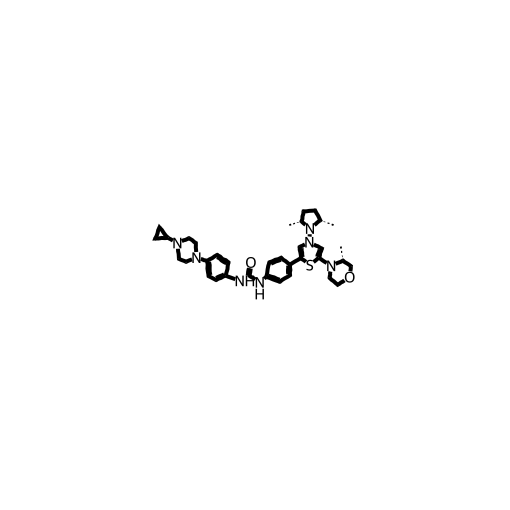 C[C@@H]1COCCN1C1=CN(N2[C@H](C)CC[C@@H]2C)C=C(c2ccc(NC(=O)Nc3ccc(N4CCN(C5CC5)CC4)cc3)cc2)S1